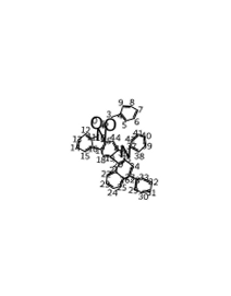 O=C(OCc1ccccc1)n1c2ccccc2c2cc3c4c5ccccc5c(-c5ccccc5)cc4n(-c4ccccc4)c3cc21